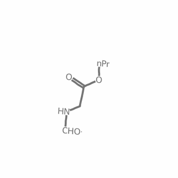 CCCOC(=O)CN[C]=O